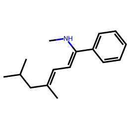 CN/C(=C\C=C(/C)CC(C)C)c1ccccc1